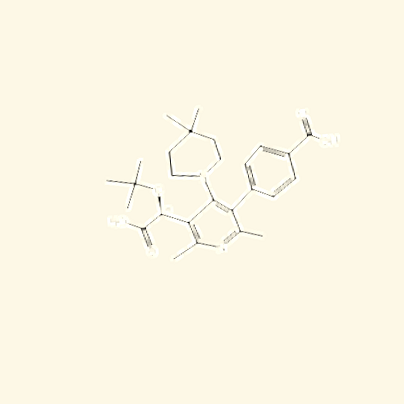 Cc1nc(C)c([C@H](OC(C)(C)C)C(=O)O)c(N2CCC(C)(C)CC2)c1-c1ccc(C(=O)O)cc1